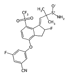 CC(C)(C=C1c2c(S(=O)(=O)C(F)(F)F)ccc(Oc3cc(F)cc(C#N)c3)c2CC1F)[S+](N)[O-]